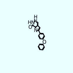 O=c1[nH][nH]cc2cc(-c3ccc(Oc4ccccc4)cc3)nc1-2